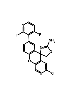 NC1=NC2(CO1)c1cc(-c3c(F)ccnc3F)ccc1Oc1cnc(Cl)cc12